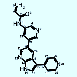 C=CC(=O)Nc1cncc(-c2cnc3[nH]cc(-c4ccncc4)c3c2)c1